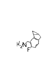 NCc1c(F)ccc2c1C1CC1C2